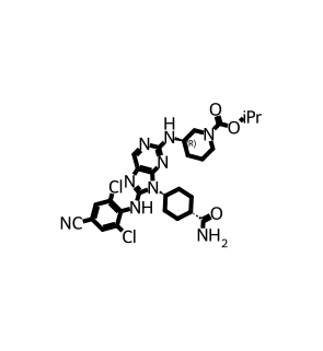 CC(C)OC(=O)N1CCC[C@@H](Nc2ncc3nc(Nc4c(Cl)cc(C#N)cc4Cl)n([C@H]4CC[C@@H](C(N)=O)CC4)c3n2)C1